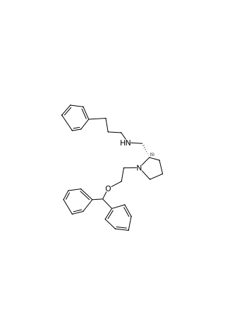 c1ccc(CCCNC[C@@H]2CCCN2CCOC(c2ccccc2)c2ccccc2)cc1